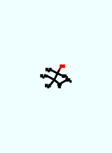 C[AsH]C(C)([AsH2])C(C)(C)O